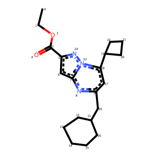 CCOC(=O)c1cc2nc(CC3CCCCC3)cc(C3CCC3)n2n1